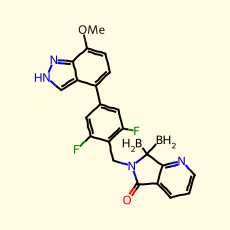 BC1(B)c2ncccc2C(=O)N1Cc1c(F)cc(-c2ccc(OC)c3n[nH]cc23)cc1F